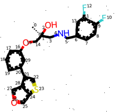 C[C@](O)(CNCc1ccc(F)c(F)c1)COc1cccc(-c2csc3cocc23)c1